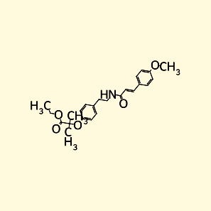 CCOC(=O)C(C)(C)Oc1ccc(CCNC(=O)/C=C/c2ccc(OC)cc2)cc1